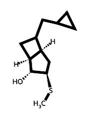 CS[C@@H]1C[C@@H]2C(CC3CC3)C[C@@H]2[C@H]1O